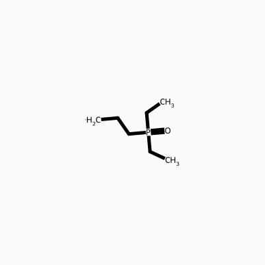 [CH2]CCP(=O)(CC)CC